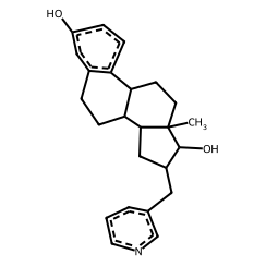 CC12CCC3c4ccc(O)cc4CCC3C1CC(Cc1cccnc1)C2O